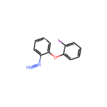 N=Nc1ccccc1Oc1ccccc1I